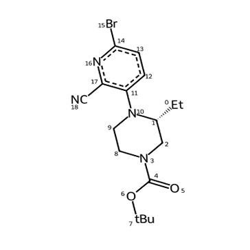 CC[C@@H]1CN(C(=O)OC(C)(C)C)CCN1c1ccc(Br)nc1C#N